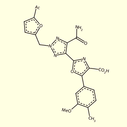 COc1cc(-c2oc(-c3nn(Cc4ccc(C(C)=O)o4)nc3C(N)=O)nc2C(=O)O)ccc1C